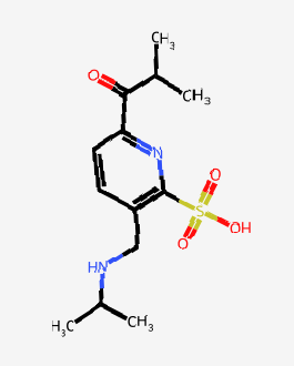 CC(C)NCc1ccc(C(=O)C(C)C)nc1S(=O)(=O)O